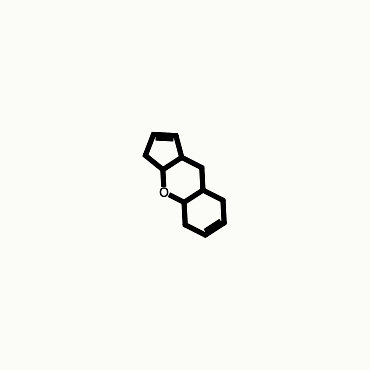 C1=CCC2OC3CC=CC3CC2C1